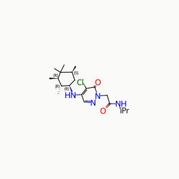 CC(C)NC(=O)Cn1ncc(N[C@@H]2C[C@H](C)C(C)(C)[C@H](C)[C@H]2C)c(Cl)c1=O